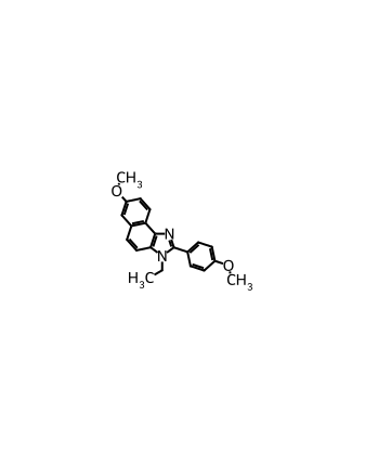 CCn1c(-c2ccc(OC)cc2)nc2c3ccc(OC)cc3ccc21